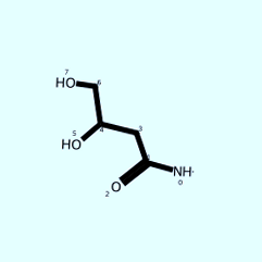 [NH]C(=O)CC(O)CO